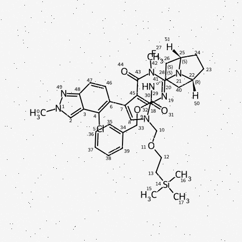 Cn1cc2c(Cl)c(-c3cn(COCC[Si](C)(C)C)c4nc(N5[C@@H]6CC[C@H]5[C@@H](F)[C@@H](NC(=O)OCc5ccccc5)C6)n(C)c(=O)c34)ccc2n1